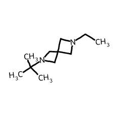 CCN1CC2(C1)CN(C(C)(C)C)C2